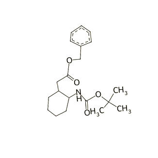 CC(C)(C)OC(=O)NC1CCCCC1CC(=O)OCc1ccccc1